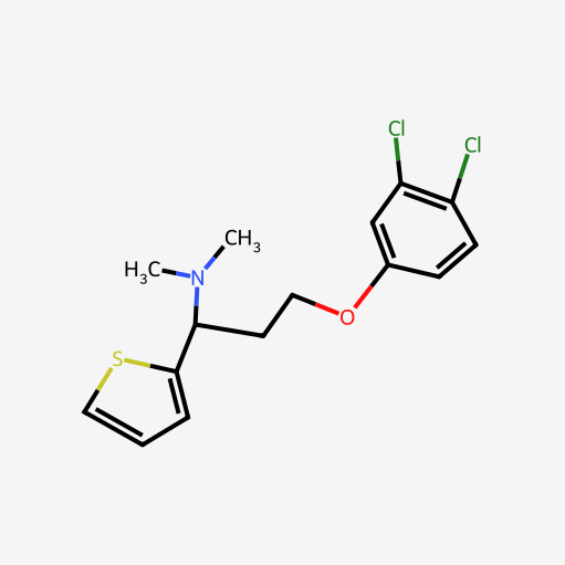 CN(C)C(CCOc1ccc(Cl)c(Cl)c1)c1cccs1